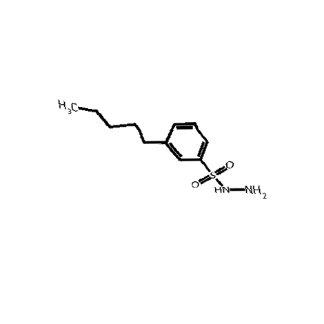 CCCCCc1cccc(S(=O)(=O)NN)c1